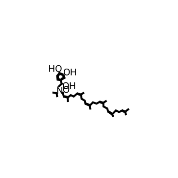 CC(C)=CCCC(C)=CCCC(C)=CCCC(C)=CCCC(C)=CCCC(C)=CC(=O)N(CC(O)c1ccc(O)c(O)c1)C(C)C